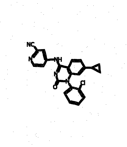 N#Cc1cc(Nc2nc(=O)n(-c3ccccc3Cl)c3cc(C4CC4)ccc23)ccn1